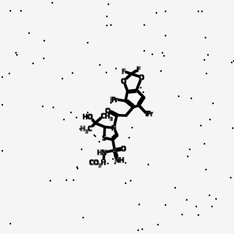 CC(C)c1cc2c(c(C(C)C)c1CC(=O)N1C=C(S(=N)(=O)NC(=O)O)SC1C(C)(C)O)OC(F)(F)O2